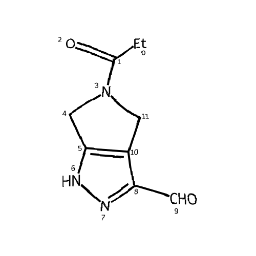 CCC(=O)N1Cc2[nH]nc(C=O)c2C1